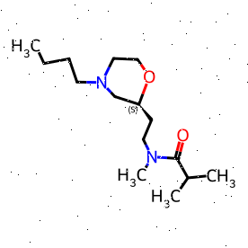 CCCCN1CCO[C@@H](CCN(C)C(=O)C(C)C)C1